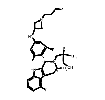 C[C@H]1Cc2c([nH]c3cccc(F)c23)[C@H](c2c(F)cc(NC3CN(CCCF)C3)cc2F)N1CC(C)(F)CO